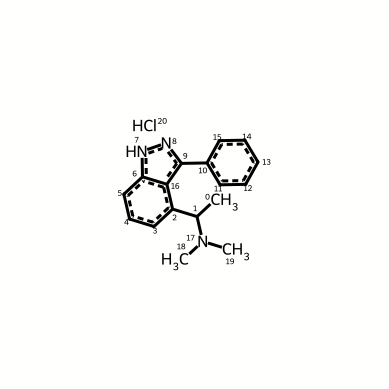 CC(c1cccc2[nH]nc(-c3ccccc3)c12)N(C)C.Cl